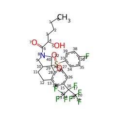 CCCCC(O)C(=O)N1CC2CCc3cc(C(F)(C(F)(F)F)C(F)(F)F)ccc3C2(S(=O)(=O)c2ccc(F)cc2)C1